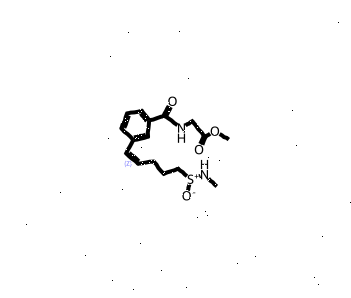 CN[S+]([O-])CCC/C=C\c1cccc(C(=O)NCC(=O)OC)c1